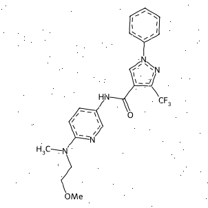 COCCN(C)c1ccc(NC(=O)c2cn(-c3ccccc3)nc2C(F)(F)F)cn1